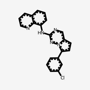 Clc1cccc(-c2ccc3cnc(Nc4cccc5cccnc45)nn23)c1